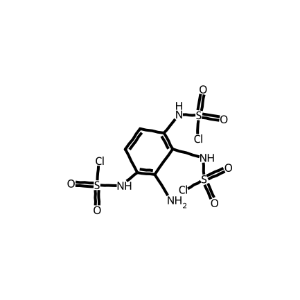 Nc1c(NS(=O)(=O)Cl)ccc(NS(=O)(=O)Cl)c1NS(=O)(=O)Cl